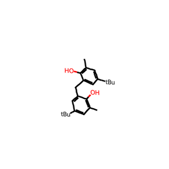 Cc1cc(C(C)(C)C)cc(Cc2cc(C(C)(C)C)cc(C)c2O)c1O